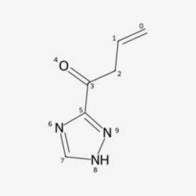 C=CCC(=O)c1nc[nH]n1